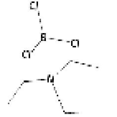 CCN(CC)CC.ClB(Cl)Cl